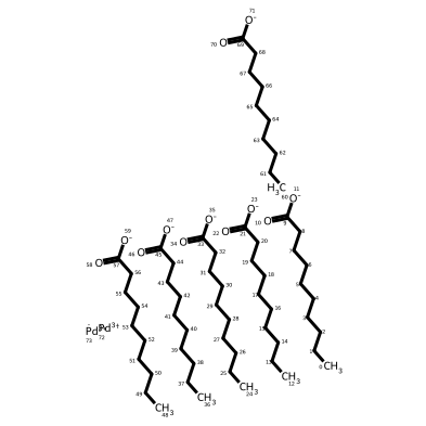 CCCCCCCCCC(=O)[O-].CCCCCCCCCC(=O)[O-].CCCCCCCCCC(=O)[O-].CCCCCCCCCC(=O)[O-].CCCCCCCCCC(=O)[O-].CCCCCCCCCC(=O)[O-].[Pd+3].[Pd+3]